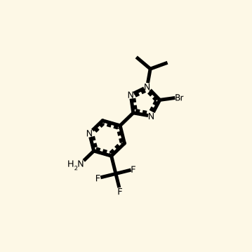 CC(C)n1nc(-c2cnc(N)c(C(F)(F)F)c2)nc1Br